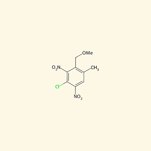 COCc1c(C)cc([N+](=O)[O-])c(Cl)c1[N+](=O)[O-]